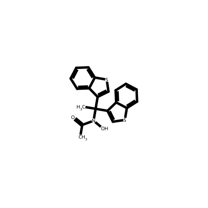 CC(=O)N(O)C(C)(c1csc2ccccc12)c1csc2ccccc12